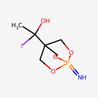 CC(O)(I)C12COP(=N)(OC1)OC2